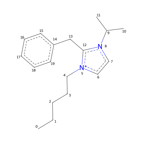 CCCCC[n+]1ccn(C(C)C)c1Cc1ccccc1